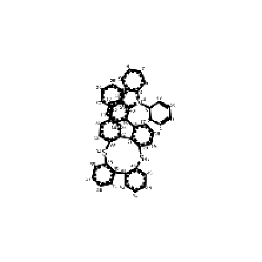 C1=CCC(n2c3ccccc3c3cccc(-c4cccc5c4-c4cc(-c6ccccc6)ccc4Sc4ccccc4-c4ccccc4S5)c32)C=C1